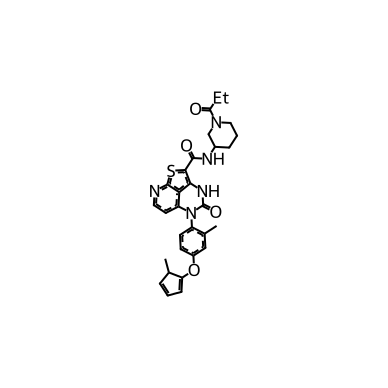 CCC(=O)N1CCCC(NC(=O)c2sc3nccc4c3c2NC(=O)N4c2ccc(OC3=CC=CC3C)cc2C)C1